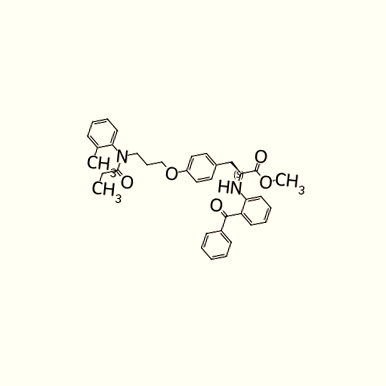 CCC(=O)N(CCCOc1ccc(C[C@H](Nc2ccccc2C(=O)c2ccccc2)C(=O)OC)cc1)c1ccccc1C